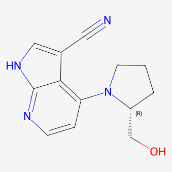 N#Cc1c[nH]c2nccc(N3CCC[C@@H]3CO)c12